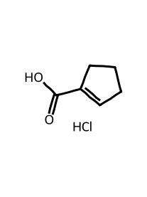 Cl.O=C(O)C1=CCCC1